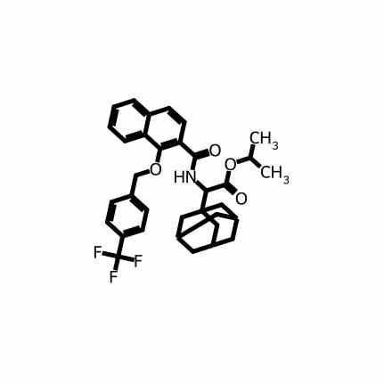 CC(C)OC(=O)C(NC(=O)c1ccc2ccccc2c1OCc1ccc(C(F)(F)F)cc1)C12CC3CC(CC(C3)C1)C2